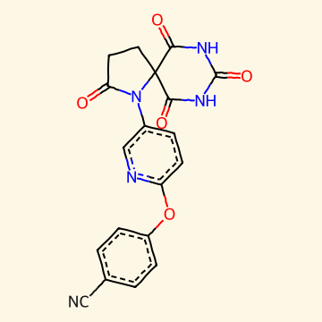 N#Cc1ccc(Oc2ccc(N3C(=O)CCC34C(=O)NC(=O)NC4=O)cn2)cc1